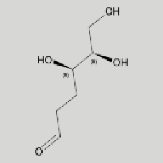 O=CCC[C@@H](O)[C@H](O)CO